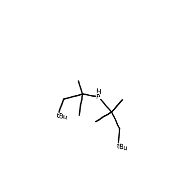 CC(C)(C)CC(C)(C)PC(C)(C)CC(C)(C)C